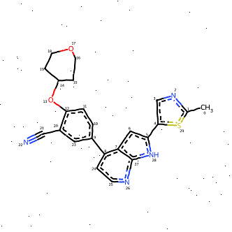 Cc1ncc(-c2cc3c(-c4ccc(OC5CCOCC5)c(C#N)c4)ccnc3[nH]2)s1